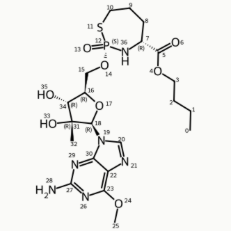 CCCCOC(=O)[C@H]1CCCS[P@@](=O)(OC[C@H]2O[C@@H](n3cnc4c(OC)nc(N)nc43)[C@](C)(O)[C@@H]2O)N1